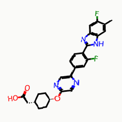 Cc1cc2[nH]c(-c3ccc(-c4cnc(O[C@H]5CC[C@@H](CC(=O)O)CC5)cn4)cc3F)nc2cc1F